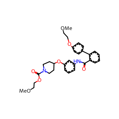 COCCOC(=O)N1CCC(Oc2cccc(NC(=O)c3ccccc3-c3ccc(OCCOC)cc3)c2)CC1